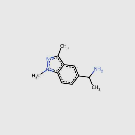 Cc1nn(C)c2ccc(C(C)N)cc12